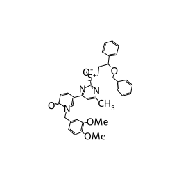 COc1ccc(Cn2cc(-c3cc(C)nc([S+]([O-])CCC(OCc4ccccc4)c4ccccc4)n3)ccc2=O)cc1OC